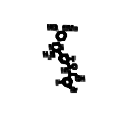 CO[C@H]1CC[C@H](c2cnc(N)c(-c3ccc(C(=O)NC(CO)c4cc(F)cc(Br)c4)c(F)c3)n2)C[C@@H]1O